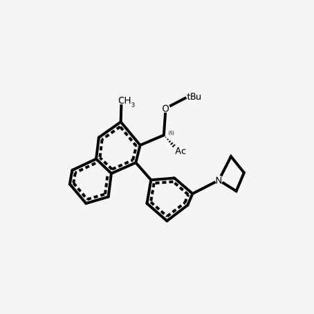 CC(=O)[C@@H](OC(C)(C)C)c1c(C)cc2ccccc2c1-c1cccc(N2CCC2)c1